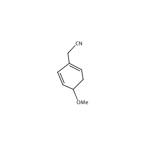 COC1C=CC(CC#N)=CC1